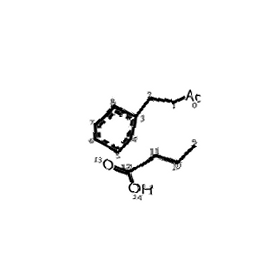 CC(=O)CCc1ccccc1.CCCC(=O)O